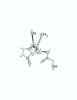 C=C1C[C@@H](OC(=O)CO)C2CCCC3(CCC(=O)C23)C[C@@H]1O